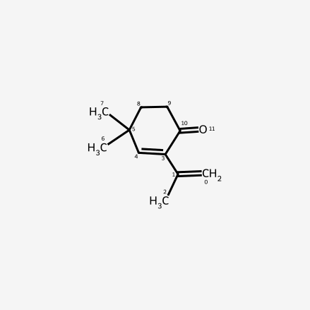 C=C(C)C1=CC(C)(C)CCC1=O